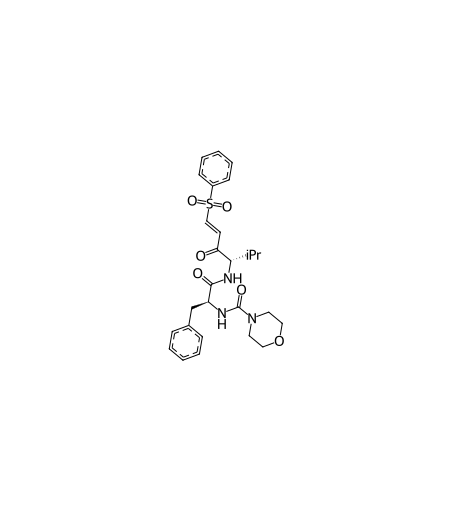 CC(C)[C@H](NC(=O)[C@H](Cc1ccccc1)NC(=O)N1CCOCC1)C(=O)C=CS(=O)(=O)c1ccccc1